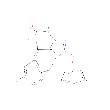 Cn1c(=O)[nH]c(=O)c2c1nc(Oc1cccc(N)c1)n2Cc1ccc(Cl)cc1